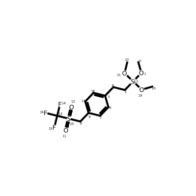 CO[Si](CCc1ccc(CS(=O)(=O)C(F)(F)F)cc1)(OC)OC